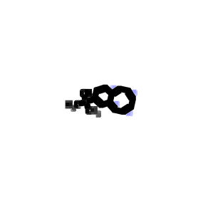 CS(C)(C)c1ccc2/c(c1)=C\C=C/C=C\C=2